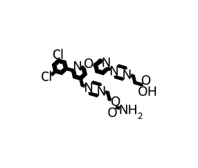 NC(=O)OCCN1CCN(Cc2cc(Oc3ccc(N4CCN(CCC(=O)O)CC4)nc3)nc(-c3cc(Cl)cc(Cl)c3)c2)CC1